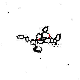 CC1(C)c2ccccc2-c2cc3c(cc21)Sc1ccccc1C31c2ccccc2-c2ccccc2-c2ccc(-c3cc(-c4ccc(-c5cccnc5)cc4)nc(-c4ccccc4)n3)cc21